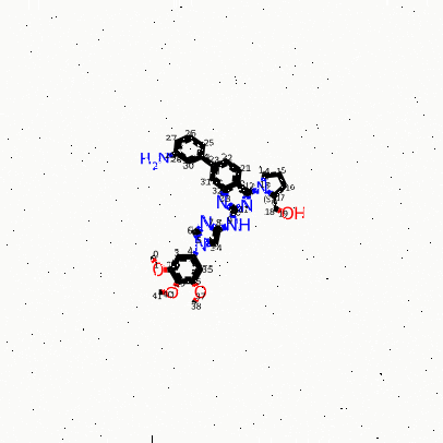 COc1cc(-n2cnc(Nc3nc(N4CCC[C@H]4CO)c4ccc(-c5cccc(N)c5)cc4n3)c2)cc(OC)c1OC